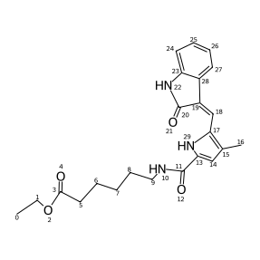 CCOC(=O)CCCCCNC(=O)c1cc(C)c(/C=C2\C(=O)Nc3ccccc32)[nH]1